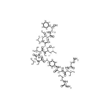 CC[C@H](C)[C@H]([C@H](CC(=O)N1CCC[C@@H]1[C@@H](OC)[C@H](C)C(=O)N[C@@H](C)[C@H](O)c1ccccc1)OC)N(C)C(=O)[C@H](NC(=O)[C@@H](C(C)C)N(C)C(=O)OCc1ccc(NC(=O)[C@@H](CCCNC(N)=O)NC(=O)[C@H](NC(=O)CON)C(C)C)cc1)C(C)C